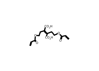 C=CC(=O)OCCC(C(=O)O)=C(CCOC(=O)C=C)C(=O)O